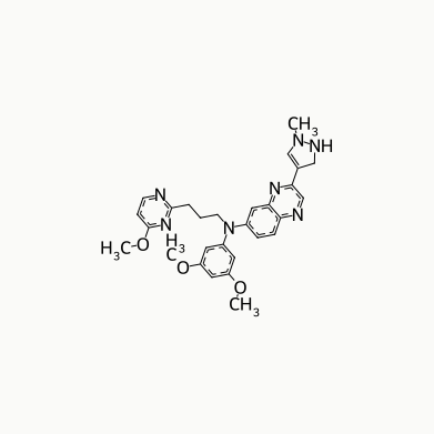 COc1cc(OC)cc(N(CCCc2nccc(OC)n2)c2ccc3ncc(C4=CN(C)NC4)nc3c2)c1